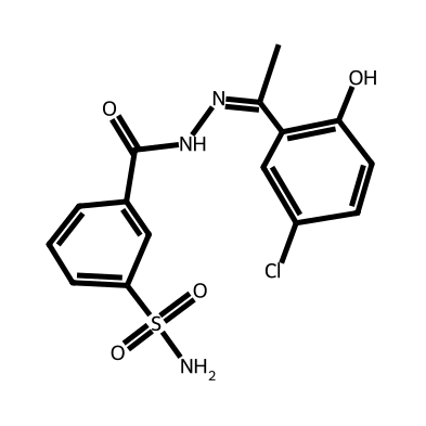 CC(=NNC(=O)c1cccc(S(N)(=O)=O)c1)c1cc(Cl)ccc1O